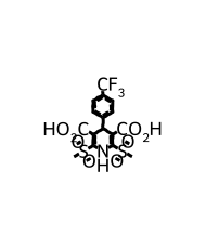 CS(=O)(=O)C1=C(C(=O)O)C(c2ccc(C(F)(F)F)cc2)C(C(=O)O)=C(S(C)(=O)=O)N1